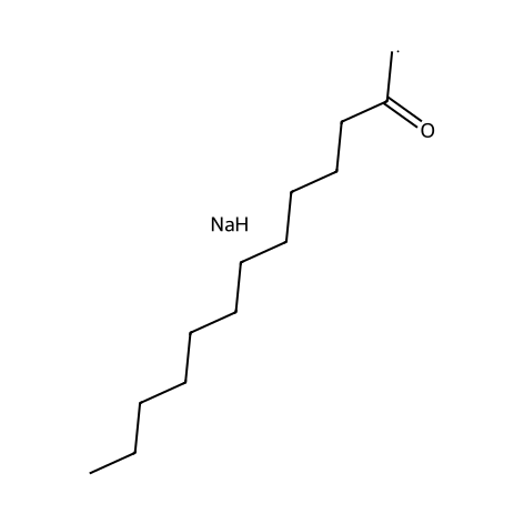 [CH2]C(=O)CCCCCCCCCCC.[NaH]